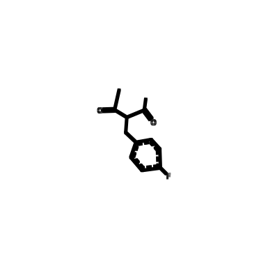 CC(=O)C(Cc1ccc(F)cc1)C(C)=O